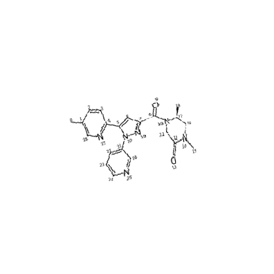 Cc1ccc(-c2cc(C(=O)N3CC(=O)N(C)C[C@@H]3C)nn2-c2cccnc2)nc1